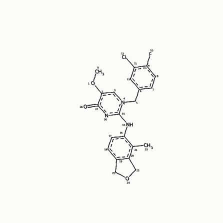 COc1cn(Cc2ccc(F)c(Cl)c2)c(Nc2ccc3c(c2C)COC3)nc1=O